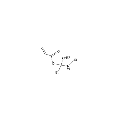 [CH2]CC(C=O)(NCC)OC(=O)C=C